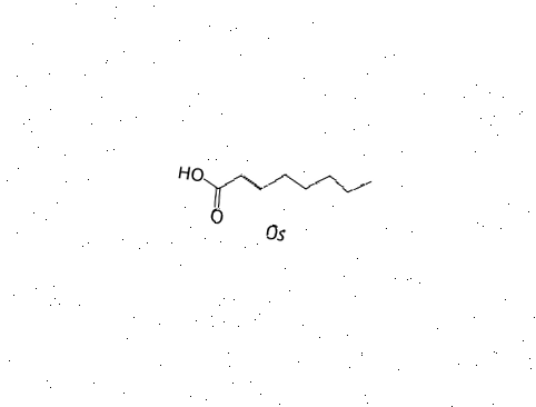 CCCCCCCC(=O)O.[Os]